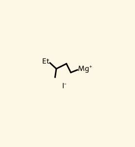 CCC(C)C[CH2][Mg+].[I-]